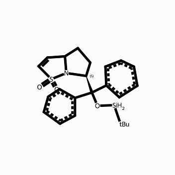 CC(C)(C)[SiH2]OC(c1ccccc1)(c1ccccc1)[C@@H]1CCC2C=CS(=O)(=O)N21